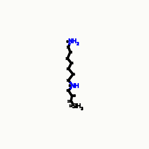 NCCCCCCCNCCC[SiH3]